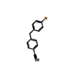 C#Cc1ccc(Cc2ccc(Br)cc2)cc1